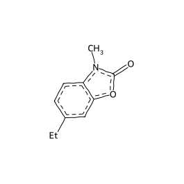 CCc1ccc2c(c1)oc(=O)n2C